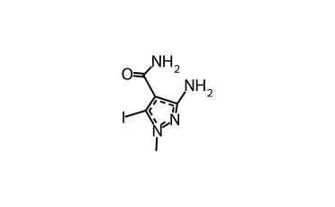 Cn1nc(N)c(C(N)=O)c1I